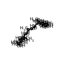 CC(=O)NC1C(O)[C@H](O[C@@H]2OC(CO)[C@H](O)C(O[C@H]3OC(CO)[C@H](O)C(O)C3O)C2O)C(CO)O[C@H]1OCCCNC(=O)COc1ccc(-c2cc(C)cc(OCC(=O)NCCCO[C@@H]3OC(CO)[C@@H](O[C@@H]4OC(CO)[C@H](O)C(O[C@H]5OC(CO)[C@H](O)C(O)C5O)C4O)C(O)C3NC(C)=O)c2)cc1